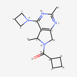 Cc1nc2c(c(N3CCC3)n1)C(C)N(C(=O)C1CCC1)C2